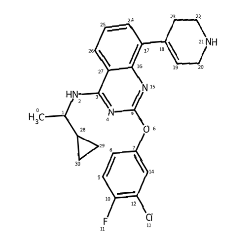 CC(Nc1nc(Oc2ccc(F)c(Cl)c2)nc2c(C3=CCNCC3)cccc12)C1CC1